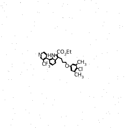 CCOC(=O)c1[nH]c2c(-c3ccncc3C(F)(F)F)cccc2c1CCCOc1cc(C)c(Cl)c(C)c1